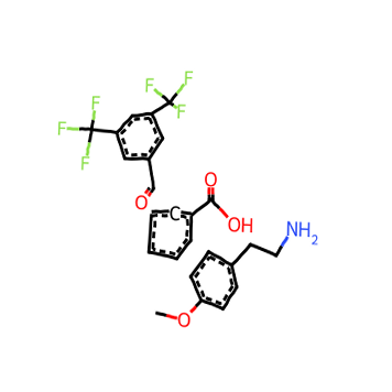 COc1ccc(CCN)cc1.O=C(O)c1ccccc1.O=Cc1cc(C(F)(F)F)cc(C(F)(F)F)c1